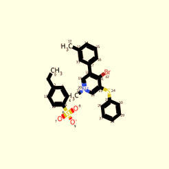 CCc1ccc(S(=O)(=O)[O-])cc1.Cc1cccc(-c2c[n+](C)cc(Sc3ccccc3)c2Br)c1